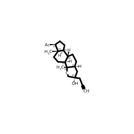 C#CC[C@@]1(O)CC[C@@]2(C)[C@@H](CC[C@@H]3[C@@H]2CC[C@]2(C)[C@@H](C(C)=O)CC[C@@H]32)C1